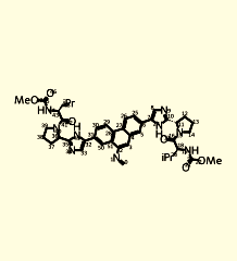 C=Nc1cc2cc(-c3cnc([C@@H]4CCCN4C(=O)[C@@H](NC(=O)OC)C(C)C)[nH]3)ccc2c2ccc(-c3cnc(C4CCCN4C(=O)[C@@H](NC(=O)OC)C(C)C)[nH]3)cc12